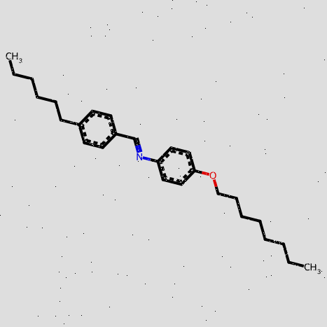 CCCCCCCCOc1ccc(N=Cc2ccc(CCCCCC)cc2)cc1